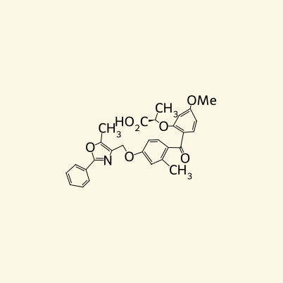 COc1ccc(C(=O)c2ccc(OCc3nc(-c4ccccc4)oc3C)cc2C)c(O[C@H](C)C(=O)O)c1